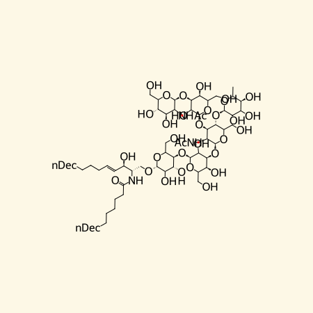 CCCCCCCCCCCCC/C=C/[C@@H](O)[C@H](CO[C@@H]1OC(CO)[C@@H](O[C@@H]2OC(CO)[C@H](O)[C@H](O[C@@H]3OC(CO)[C@@H](O[C@H]4OC(C)[C@@H](O)C(O)[C@@H]4O)[C@H](O[C@@H]4OC(CO)[C@H](O)[C@H](O[C@@H]5OC(CO)[C@@H](O)[C@H](O)C5NC(C)=O)C4O)C3NC(C)=O)C2O)[C@H](O)C1O)NC(=O)CCCCCCCCCCCCCCC